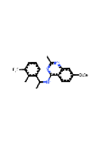 COc1ccc2c(NC(C)c3cccc(C(F)(F)F)c3C)nc(C)nc2c1